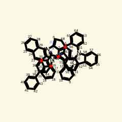 C1=C(c2ccc3oc4ccccc4c3c2-n2c3ccccc3c3cc4ccccc4cc32)/N=C(c2ccc(-c3ccccc3)cc2)\N=C2\c3cccc4c5ccccc5n(c34)-c3ccccc3C2C/1